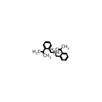 C=C(C)c1ccccc1CNCc1ccccc1C(=C)C